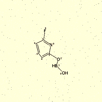 OBOc1cccc(F)n1